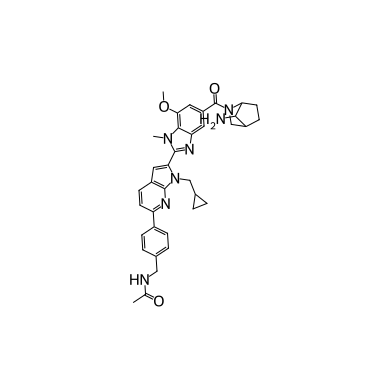 COc1cc(C(=O)N2CC3CCC2C3N)cc2nc(-c3cc4ccc(-c5ccc(CNC(C)=O)cc5)nc4n3CC3CC3)n(C)c12